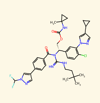 CC(C)(C)CCNC(=N)N(C(=O)c1ccc(-c2cnn(C(F)F)c2)cc1)[C@H](COC(=O)NC1(C)CC1)c1ccc(Cl)c(-n2cc(C3CC3)cn2)c1